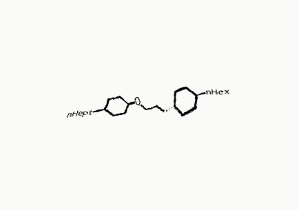 CCCCCCCC1CCC(OCCC[C@H]2CC[C@H](CCCCCC)CC2)CC1